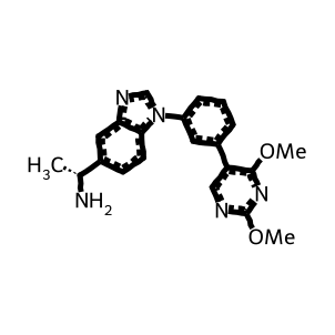 COc1ncc(-c2cccc(-n3cnc4cc([C@@H](C)N)ccc43)c2)c(OC)n1